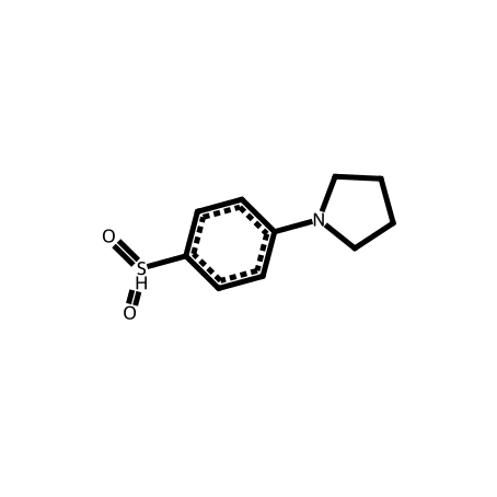 O=[SH](=O)c1ccc(N2CCCC2)cc1